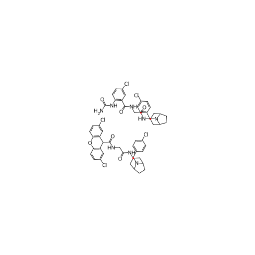 NC(=O)Nc1ccc(Cl)cc1C(=O)NCC(=O)NC1CC2CCC(C1)N2Cc1ccc(Cl)cc1.O=C(CNC(=O)C1c2cc(Cl)ccc2Oc2ccc(Cl)cc21)NC1CC2CCC(C1)N2Cc1ccc(Cl)cc1